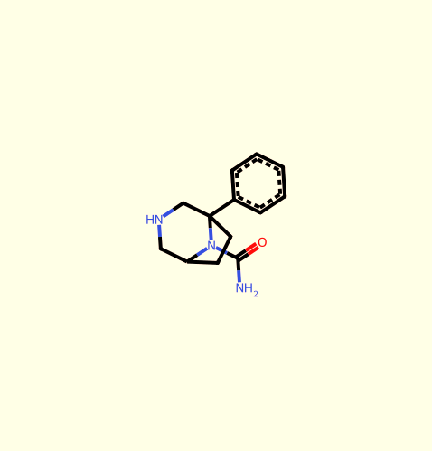 NC(=O)N1C2CCC1(c1ccccc1)CNC2